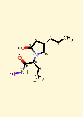 CCC[C@H]1CC(=O)N([C@@H](CC)C(=O)NI)C1